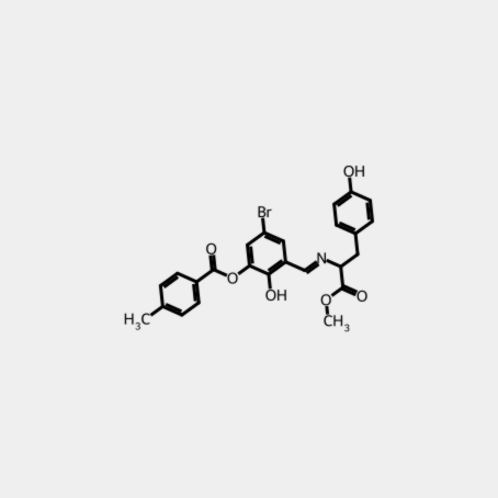 COC(=O)C(Cc1ccc(O)cc1)N=Cc1cc(Br)cc(OC(=O)c2ccc(C)cc2)c1O